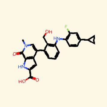 Cn1cc(-c2cccc(Nc3ccc(C4CC4)cc3F)c2CO)c2cc(C(=O)O)[nH]c2c1=O